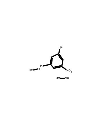 CC(C)c1cc(C(C)C)cc([N+](=O)[O-])c1.OO.OO